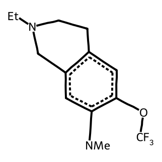 CCN1CCc2cc(OC(F)(F)F)c(NC)cc2C1